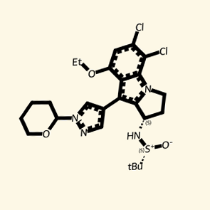 CCOc1cc(Cl)c(Cl)c2c1c(-c1cnn(C3CCCCO3)c1)c1n2CC[C@@H]1N[S@+]([O-])C(C)(C)C